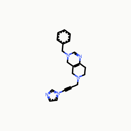 C(#Cn1ccnc1)CN1CCC2=C(CN(Cc3ccccc3)C=N2)C1